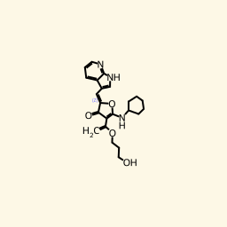 C=C(OCCCO)C1=C(NC2CCCCC2)O/C(=C\c2c[nH]c3ncccc23)C1=O